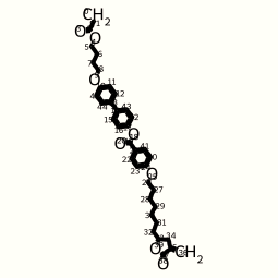 C=CC(=O)OCCCCOc1ccc(-c2ccc(OC(=O)c3ccc(OCCCCCCCC4CC(=C)C(=O)O4)cc3)cc2)cc1